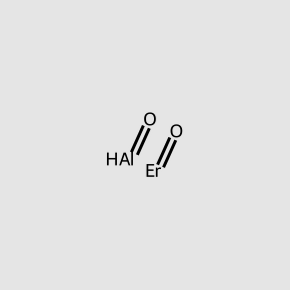 [O]=[AlH].[O]=[Er]